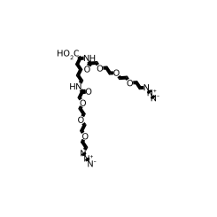 [N-]=[N+]=NCCOCCOCCOCC(=O)NCCCCC(NC(=O)COCCOCCOCCN=[N+]=[N-])C(=O)O